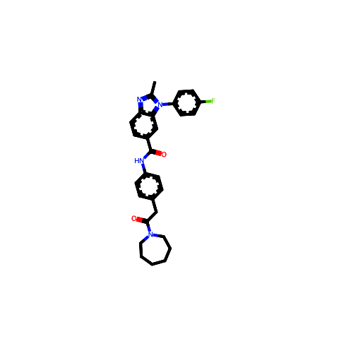 Cc1nc2ccc(C(=O)Nc3ccc(CC(=O)N4CCCCCC4)cc3)cc2n1-c1ccc(F)cc1